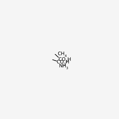 C.CC(=O)O.CC(=O)O.N